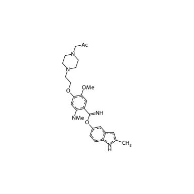 CNc1cc(OCCN2CCN(CC(C)=O)CC2)c(OC)cc1C(=N)Oc1ccc2[nH]c(C)cc2c1